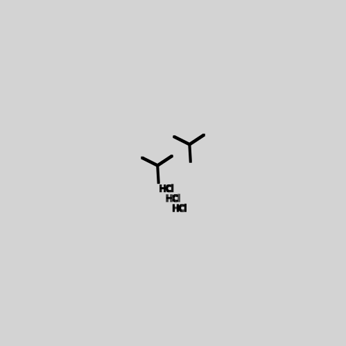 CC(C)C.CC(C)C.Cl.Cl.Cl